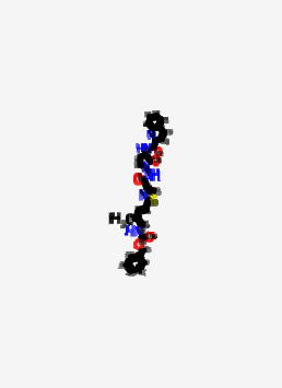 CC(CCc1nc(C(=O)NN2CC[C@@H](NC(=O)c3ccc4ccccc4n3)C2=O)cs1)CNC(=O)OCc1ccccc1